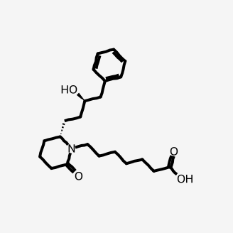 O=C(O)CCCCCCN1C(=O)CCC[C@@H]1CC[C@@H](O)Cc1ccccc1